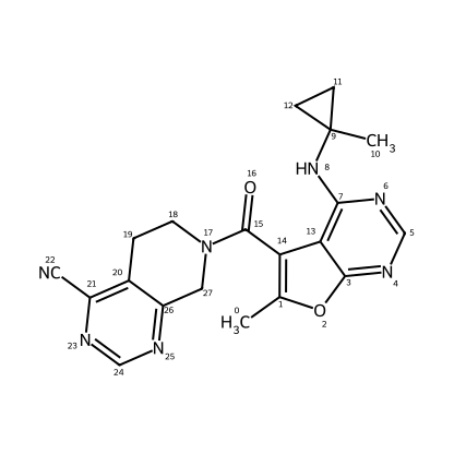 Cc1oc2ncnc(NC3(C)CC3)c2c1C(=O)N1CCc2c(C#N)ncnc2C1